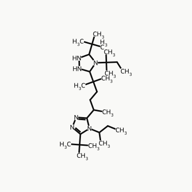 CCC(C)n1c(C(C)CCC(C)(C)C2NNC(C(C)(C)C)N2C(C)(C)CC)nnc1C(C)(C)C